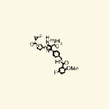 COc1ccc(F)cc1C(=O)NCc1ccc(-c2nn(C3CCN(C(=O)[C@@H]4C[C@H]4F)C3)c(N)c2C(N)=O)cc1